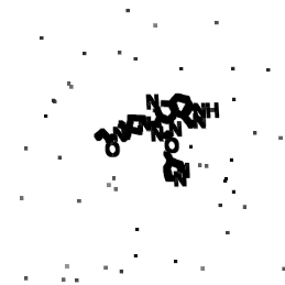 C=CC(=O)N1CC2(CCN(c3nc(OCc4ccnnc4)nc(-c4c(C)ccc5[nH]ncc45)c3C#N)C2)C1